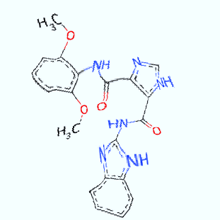 COc1cccc(OC)c1NC(=O)c1nc[nH]c1C(=O)Nc1nc2ccccc2[nH]1